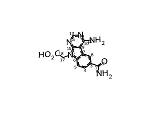 NC(=O)c1ccc2c(c1)c1c(N)ncnc1n2CC(=O)O